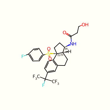 O=C(CCO)N[C@@H]1CC[C@@]2(S(=O)(=O)c3ccc(F)cc3)c3ccc(C(F)(C(F)(F)F)C(F)(F)F)cc3CC[C@@H]12